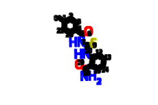 Cc1ccc(C(=O)NC(=S)Nc2ccccc2C(N)=O)cc1